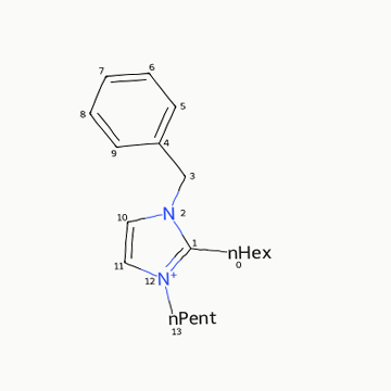 CCCCCCc1n(Cc2ccccc2)cc[n+]1CCCCC